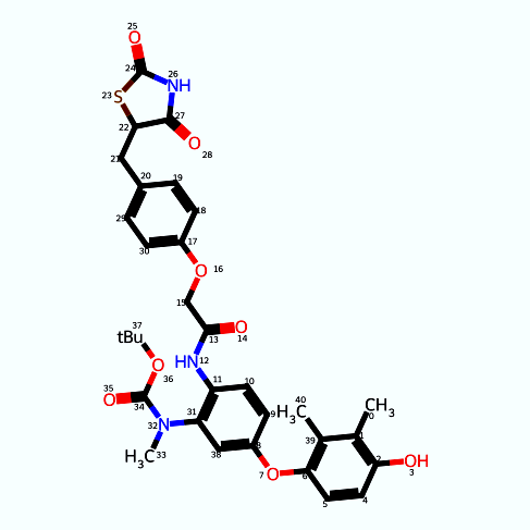 Cc1c(O)ccc(Oc2ccc(NC(=O)COc3ccc(CC4SC(=O)NC4=O)cc3)c(N(C)C(=O)OC(C)(C)C)c2)c1C